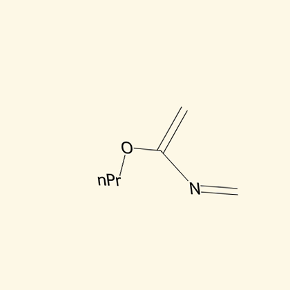 C=NC(=C)OCCC